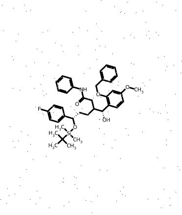 COc1ccc([C@H](O)C(CC[C@H](O[Si](C)(C)C(C)(C)C)c2ccc(F)cc2)CC(=O)Nc2ccccc2)c(OCc2ccccc2)c1